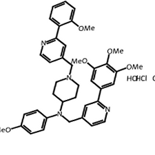 COc1ccc(N(Cc2ccnc(-c3cc(OC)c(OC)c(OC)c3)c2)C2CCN(Cc3ccnc(-c4ccccc4OC)c3)CC2)cc1.Cl.Cl.Cl